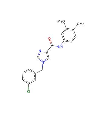 COc1ccc(NC(=O)c2cn(Cc3cccc(Cl)c3)cn2)cc1OC